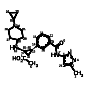 CC(=O)O.Cc1nnc(NC(=O)c2cccc([C@@H]3C[C@H]3NC3CCN(C4CC4)CC3)c2)s1